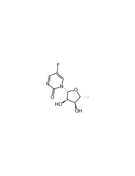 C[C@H]1O[C@@H](n2cc(F)[c]nc2=O)[C@H](O)[C@@H]1O